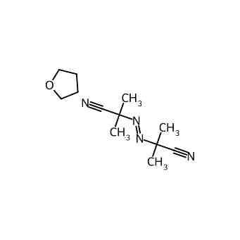 C1CCOC1.CC(C)(C#N)N=NC(C)(C)C#N